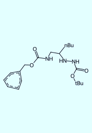 CCCCC(CNC(=O)OCc1ccccc1)NNC(=O)OC(C)(C)C